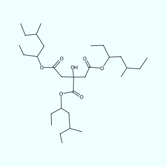 CCC(C)CC(CC)OC(=O)CC(O)(CC(=O)OC(CC)CC(C)CC)C(=O)OC(CC)CC(C)CC